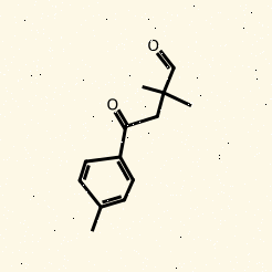 Cc1ccc(C(=O)CC(C)(C)C=O)cc1